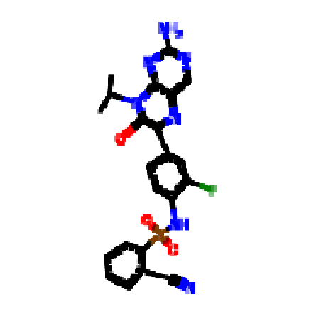 CC(C)n1c(=O)c(-c2ccc(NS(=O)(=O)c3ccccc3C#N)c(F)c2)nc2cnc(N)nc21